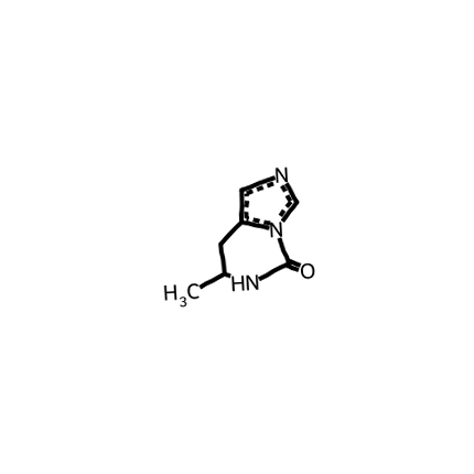 CC1Cc2cncn2C(=O)N1